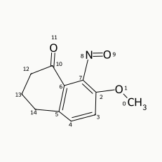 COc1ccc2c(c1N=O)C(=O)CCC2